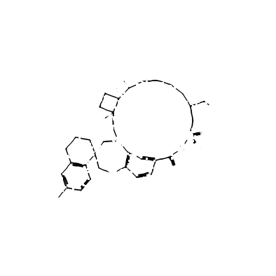 O=C1NS(=O)(=O)CC(CO)CCCC[C@H](O)[C@@H]2CC[C@H]2CN2C[C@@]3(CCCc4cc(Cl)ccc43)COc3ccc1cc32